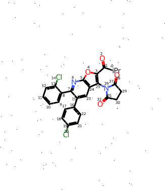 CC(C)C(=O)c1oc2nc(-c3ccccc3Cl)c(-c3ccc(Cl)cc3)cc2c1N1C(=O)CCC1=O